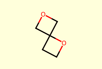 C1CC2(COC2)O1